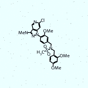 CNc1nn(-c2ccc(CN(Cc3ccc(OC)cc3OC)S(C)(=O)=O)cc2OC)c2cc(Cl)ncc12